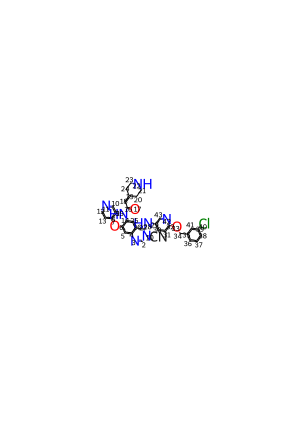 N#CN1C=Nc2cc(Oc3ccncc3)c(NC(=O)C=C3CCNCC3)cc2C1Nc1ccc(OCc2cccc(Cl)c2)nc1